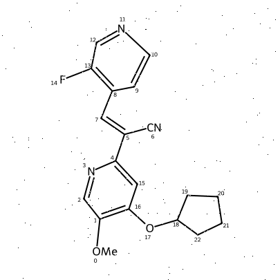 COc1cnc(C(C#N)=Cc2ccncc2F)cc1OC1CCCC1